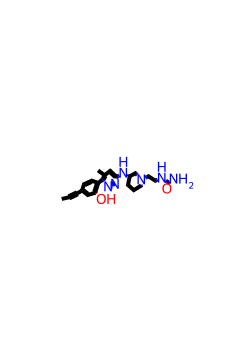 CC#Cc1ccc(-c2nnc(N[C@@H]3CCCN(CCNC(N)=O)C3)cc2C)c(O)c1